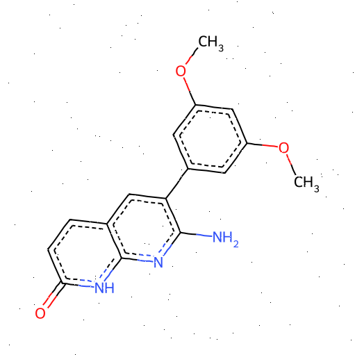 COc1cc(OC)cc(-c2cc3ccc(=O)[nH]c3nc2N)c1